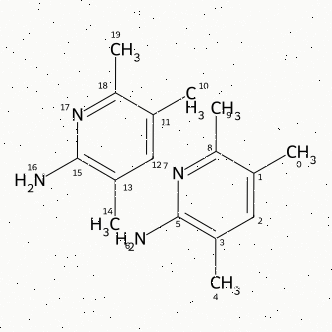 Cc1cc(C)c(N)nc1C.Cc1cc(C)c(N)nc1C